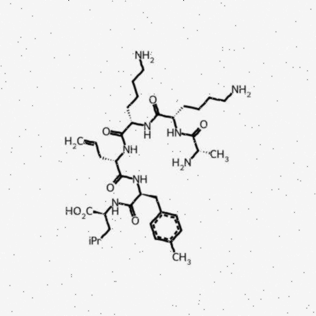 C=CC[C@H](NC(=O)[C@H](CCCCN)NC(=O)[C@H](CCCCN)NC(=O)[C@H](C)N)C(=O)N[C@@H](Cc1ccc(C)cc1)C(=O)N[C@@H](CC(C)C)C(=O)O